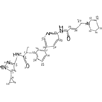 CC(C(=O)Nc1cc(C2CC2)[nH]n1)c1cccc(-c2ccc(NC(=O)C=CCN3CCCCC3)nc2)c1